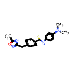 CN(C)c1ccc(NC(=S)c2ccc(Cc3noc(C(F)(F)F)n3)cc2)cc1